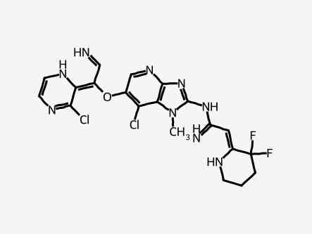 Cn1c(NC(=N)/C=C2\NCCCC2(F)F)nc2ncc(O/C(C=N)=C3/NC=CN=C3Cl)c(Cl)c21